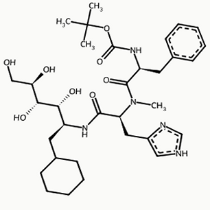 CN(C(=O)[C@H](Cc1ccccc1)NC(=O)OC(C)(C)C)[C@@H](Cc1c[nH]cn1)C(=O)N[C@@H](CC1CCCCC1)[C@@H](O)[C@H](O)[C@H](O)CO